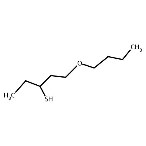 CCCCOCCC(S)CC